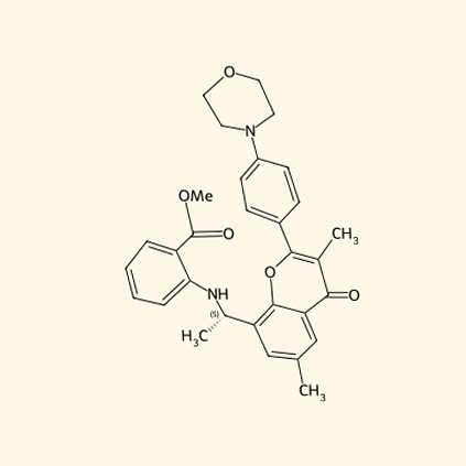 COC(=O)c1ccccc1N[C@@H](C)c1cc(C)cc2c(=O)c(C)c(-c3ccc(N4CCOCC4)cc3)oc12